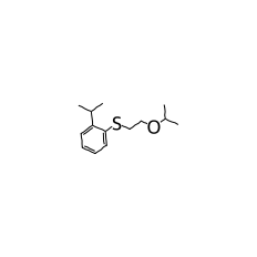 CC(C)OCCSc1ccccc1C(C)C